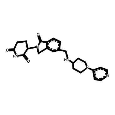 O=C1CCC(N2Cc3cc(CNC4CCN(c5ccncc5)CC4)ccc3C2=O)C(=O)N1